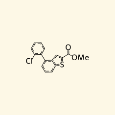 COC(=O)c1cc2c(-c3ccccc3Cl)cccc2s1